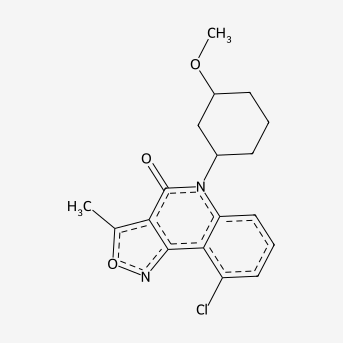 COC1CCCC(n2c(=O)c3c(C)onc3c3c(Cl)cccc32)C1